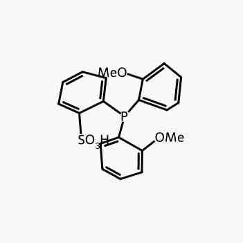 COc1ccccc1P(c1ccccc1OC)c1ccccc1S(=O)(=O)O